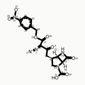 [N-]=[N+]=C(C(=O)C[C@@H]1CN(C(=O)O)[C@@H]2C(=O)N[C@H]12)C(=O)OCc1ccc([N+](=O)[O-])cc1